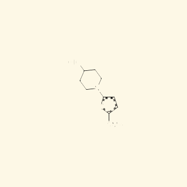 CSc1ccc(N2CCC(C=O)CC2)s1.Cl